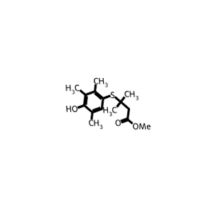 COC(=O)CC(C)(C)Sc1cc(C)c(O)c(C)c1C